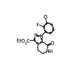 CCOC(=O)c1nn(-c2cccc(Cl)c2F)c2c1CCNC2=O